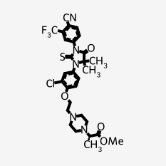 COC(=O)[C@@H](C)N1CCN(CCOc2ccc(N3C(=S)N(c4ccc(C#N)c(C(F)(F)F)c4)C(=O)C3(C)C)cc2Cl)CC1